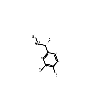 C[C@@H](NC(C)(C)C)c1ccc(Cl)c(Cl)c1